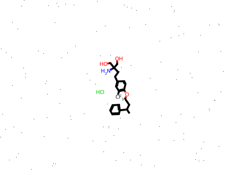 CC(CCOc1ccc(CCC(N)(CO)CO)cc1C(F)(F)F)c1ccccc1.Cl